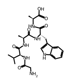 CC(C)[C@H](NC(=O)CN)C(=O)N[C@@H](C)C(=O)N[C@@H](Cc1c[nH]c2ccccc12)C(=O)N[C@@H](C)C(=O)O